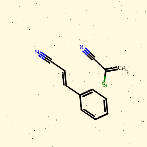 C=C(Br)C#N.N#CC=Cc1ccccc1